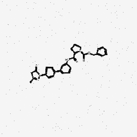 CC1=NN(c2ccc(-c3cccc(NC(=O)C4CCCN4C(=O)OCc4ccccc4)c3)cc2)C(=O)C1